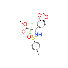 CCOC(=O)C(F)(F)C(N[S+]([O-])c1ccc(C)cc1)c1ccc2c(c1)OCO2